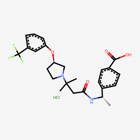 C[C@H](NC(=O)CC(C)(C)N1CC[C@@H](Oc2cccc(C(F)(F)F)c2)C1)c1ccc(C(=O)O)cc1.Cl